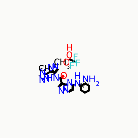 Cn1cc(NC(=O)c2cnn3ccc(N[C@@H]4CCCC[C@@H]4N)nc23)c(-c2nncn2C)n1.O=C(O)C(F)(F)F